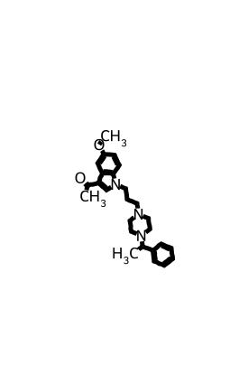 COc1ccc2c(c1)c(C(C)=O)cn2CCCN1CCN(C(C)c2ccccc2)CC1